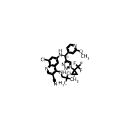 COc1cc([C@H](Nc2cc(Cl)c3ncc(C#N)c(NCC(C)(C)C)c3c2)c2cn(C3(C(F)(F)F)CC3)nn2)ccn1